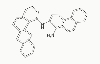 Nc1c(Nc2cccc3ccc4cc5ccccc5cc4c23)ccc2c1ccc1ccccc12